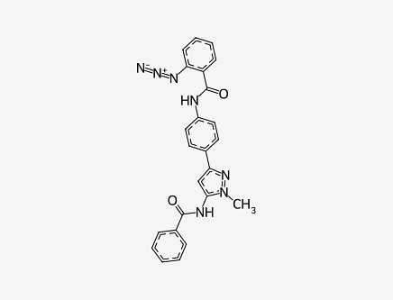 Cn1nc(-c2ccc(NC(=O)c3ccccc3N=[N+]=[N-])cc2)cc1NC(=O)c1ccccc1